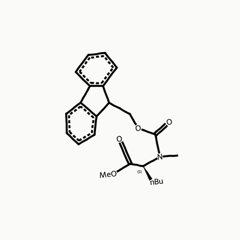 CCCC[C@@H](C(=O)OC)N(C)C(=O)OCC1c2ccccc2-c2ccccc21